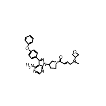 CN(CC=CC(=O)N1CCC(n2nc(-c3ccc(Oc4ccccc4)cc3)c3c(N)ncnc32)C1)C1COC1